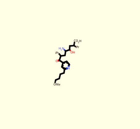 COCCCCc1cc(C(=O)C(CC(N)C(O)CC(C(=O)O)C(C)C)C(C)C)ccn1